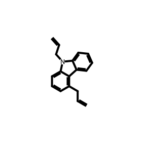 C=CCc1cccc2c1c1ccccc1n2CC=C